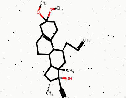 C#C[C@]1(O)[C@H](C)CC2C3CCC4=C(CCC(OC)(OC)C4)C3[C@@H](CC=C)C[C@@]21C